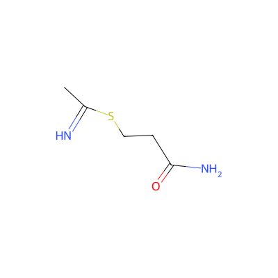 CC(=N)SCCC(N)=O